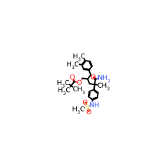 Cc1ccc(CC(COC(=O)C(C)(C)C)CC(C)(C(N)=O)c2ccc(NS(C)(=O)=O)cc2)cc1C